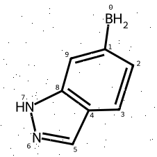 Bc1ccc2cn[nH]c2c1